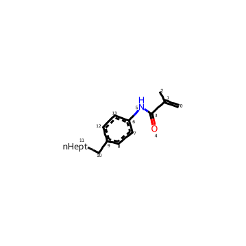 C=C(C)C(=O)Nc1ccc(CCCCCCCC)cc1